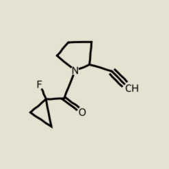 C#CC1CCCN1C(=O)C1(F)CC1